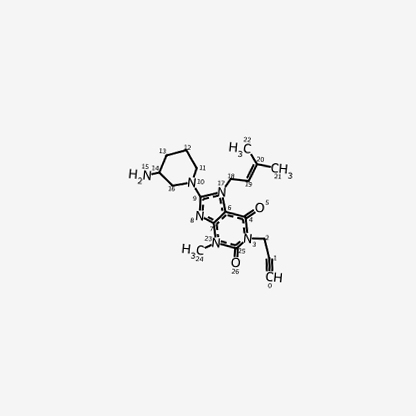 C#CCn1c(=O)c2c(nc(N3CCCC(N)C3)n2CC=C(C)C)n(C)c1=O